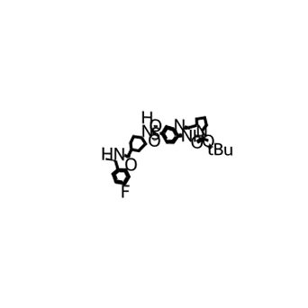 C[C@@H](NC(=O)C1CCC(NS(=O)(=O)c2ccc3[nH]c(C4CCCN4C(=O)OC(C)(C)C)nc3c2)CC1)c1ccc(F)cc1